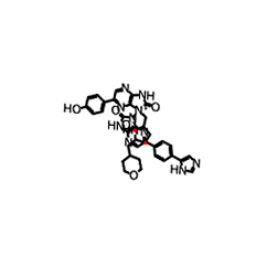 O=C1Nc2ncc(-c3ccc(O)cc3)nc2[N+]1(CC1CCC(CC2CCOCC2)[NH+]1[O-])n1c(=O)[nH]c2ncc(-c3ccc(-c4cnc[nH]4)cc3)nc21